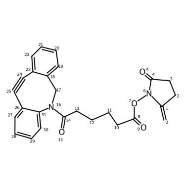 C=C1CCC(=O)N1OC(=O)CCCCC(=O)N1Cc2ccccc2C#Cc2ccccc21